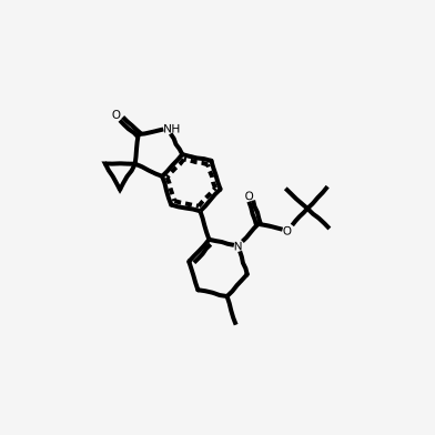 CC1CC=C(c2ccc3c(c2)C2(CC2)C(=O)N3)N(C(=O)OC(C)(C)C)C1